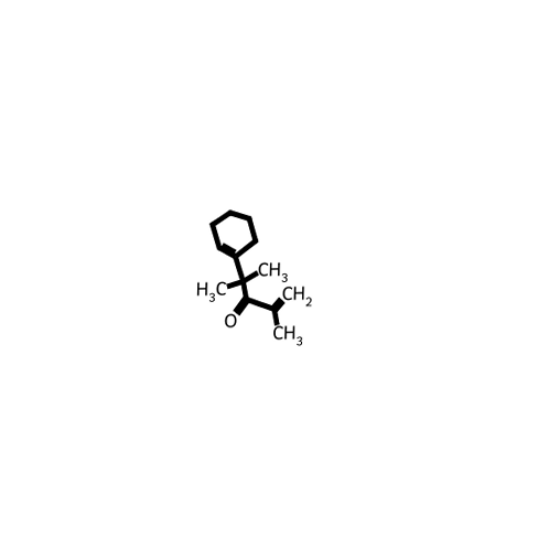 C=C(C)C(=O)C(C)(C)C1=CCCCC1